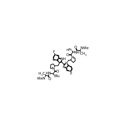 CCCC(NC(=O)C(C)NC)C(=O)N1CCCC1Cn1c(-c2[nH]c3cc(F)ccc3c2CC2CCCN2C(=O)C(NC(=O)C(C)NC)C(C)(C)C)nc2cc(F)ccc21